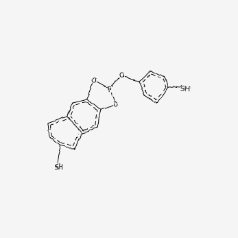 Sc1ccc(OP2Oc3cc4ccc(S)cc4cc3O2)cc1